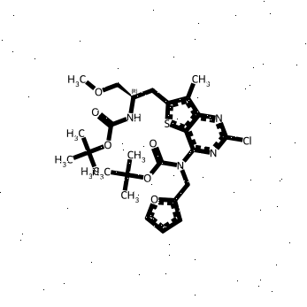 COC[C@@H](Cc1sc2c(N(Cc3ccco3)C(=O)OC(C)(C)C)nc(Cl)nc2c1C)NC(=O)OC(C)(C)C